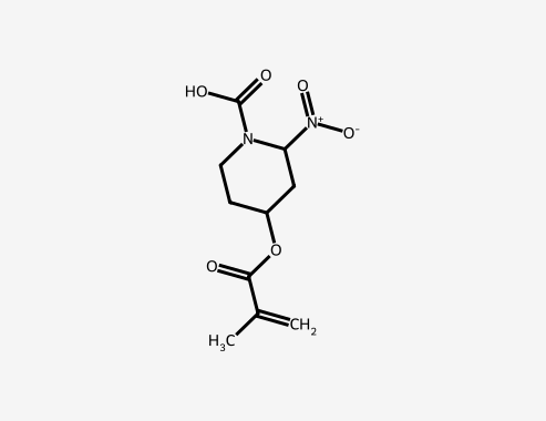 C=C(C)C(=O)OC1CCN(C(=O)O)C([N+](=O)[O-])C1